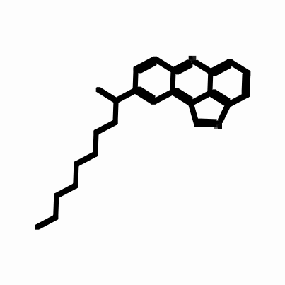 CCCCCCCCC(C)c1ccc2nc3cccc4c3c(c2c1)C=N4